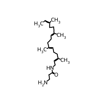 CC=C(C)CCC(C)=CCCC(C)=CCCC(C)=CCNC(=O)CCN